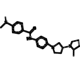 CC1CCCN1C1CCN(c2ccc(NC(=O)c3ccc(N(C)C)cc3)cc2)C1